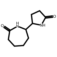 O=C1CCCCC(C2CCC(=O)N2)N1